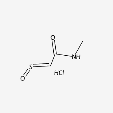 CNC(=O)C=S=O.Cl